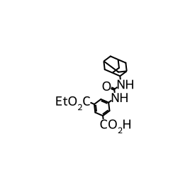 CCOC(=O)c1cc(NC(=O)NC2C3CC4CC(C3)CC2C4)cc(C(=O)O)c1